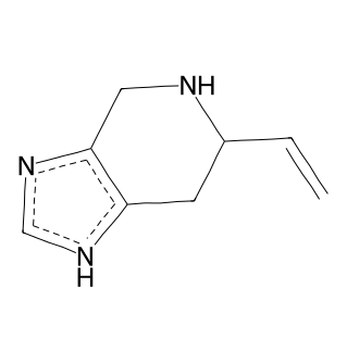 C=CC1Cc2[nH]cnc2CN1